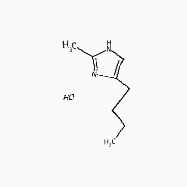 CCCCc1c[nH]c(C)n1.Cl